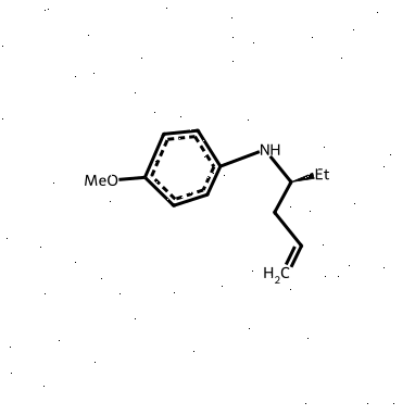 C=CC[C@H](CC)Nc1ccc(OC)cc1